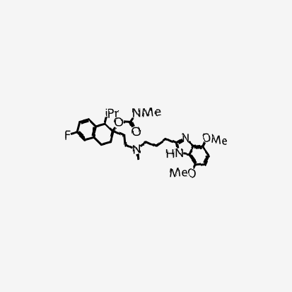 CNC(=O)OC1(CCN(C)CCCc2nc3c(OC)ccc(OC)c3[nH]2)CCc2cc(F)ccc2C1C(C)C